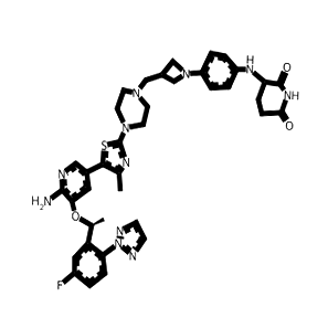 Cc1nc(N2CCN(CC3CN(c4ccc(NC5CCC(=O)NC5=O)cc4)C3)CC2)sc1-c1cnc(N)c(O[C@@H](C)c2cc(F)ccc2-n2nccn2)c1